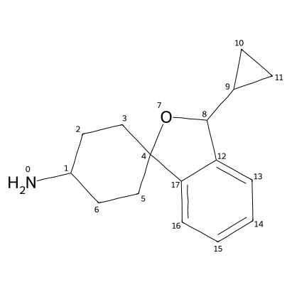 NC1CCC2(CC1)OC(C1CC1)c1ccccc12